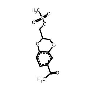 CC(=O)c1ccc2c(c1)OCC(COS(C)(=O)=O)O2